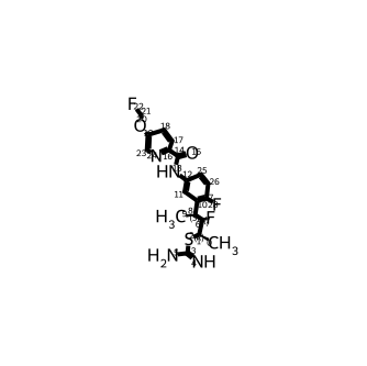 C[C@@H](SC(=N)N)[C@H](F)[C@@H](C)c1cc(NC(=O)c2ccc(OCF)cn2)ccc1F